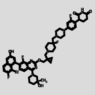 CCc1c(F)ccc2cc(O)cc(-c3ncc4c(N5CCC[C@@](C)(O)C5)nc(OCC5(CN6CCC(F)(CN7CCN(c8ccc(C9CCC(=O)NC9=O)c(F)c8)CC7)CC6)CC5)nc4c3F)c12